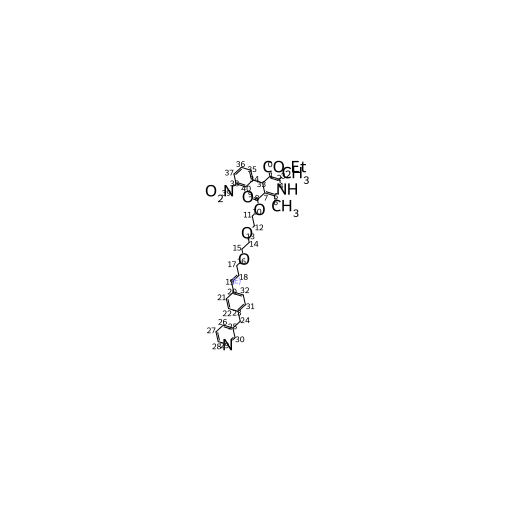 CCOC(=O)C1=C(C)NC(C)=C(C(=O)OCCOCCOC/C=C/c2ccc(Cc3cccnc3)cc2)C1c1cccc([N+](=O)[O-])c1